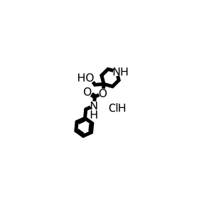 Cl.O=C(NCc1ccccc1)OC1(CO)CCNCC1